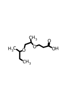 CCC(C)OCC(C)OCCC(=O)O